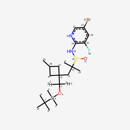 [2H]C([2H])(O[Si](C)(C)C(C)(C)C)C1(CC(C)(C)[S+]([O-])Nc2ncc(Br)cc2F)CC(C)C1